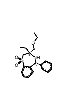 CCOC[C@]1(CC)CS(=O)(=O)c2ccccc2[C@H](c2ccccc2)N1